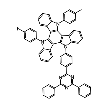 Cc1ccc(-n2c3ccccc3c3c2c2c4ccccc4n(-c4ccc(-c5nc(-c6ccccc6)nc(-c6ccccc6)n5)cc4)c2c2c4ccccc4n(-c4ccc(F)cc4)c32)cc1